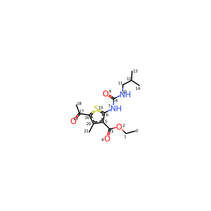 CCOC(=O)c1c(NC(=O)NCC(C)C)sc(C(C)=O)c1C